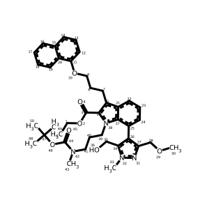 CCOC(=O)c1c(CCCOc2cccc3ccccc23)c2cccc(-c3c(COC)nn(C)c3CO)c2n1CCCN(C)C(=O)OC(C)(C)C